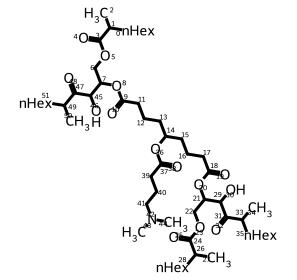 CCCCCCC(C)C(=O)OCC(OC(=O)CCCC(CCCC(=O)OC(COC(=O)C(C)CCCCCC)C(O)C(=O)C(C)CCCCCC)OC(=O)CCCN(C)C)C(O)C(=O)C(C)CCCCCC